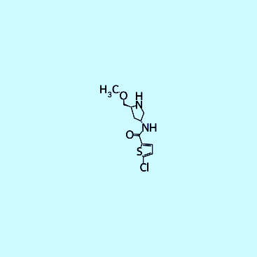 COC[C@@H]1C[C@@H](NC(=O)c2ccc(Cl)s2)CN1